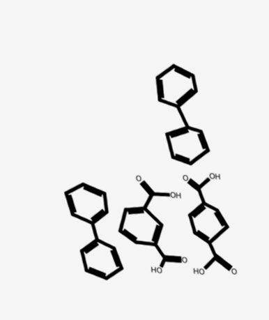 O=C(O)c1ccc(C(=O)O)cc1.O=C(O)c1cccc(C(=O)O)c1.c1ccc(-c2ccccc2)cc1.c1ccc(-c2ccccc2)cc1